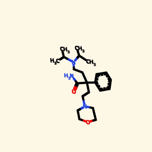 CC(C)N(CCC(CCN1CCOCC1)(C(N)=O)c1ccccc1)C(C)C